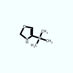 C[N+](C)(C)C1=COCN1